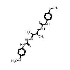 COc1ccc(NC(=S)N/N=C(C)/C(C)=N/NC(=S)Nc2ccc(OC)cc2)cc1